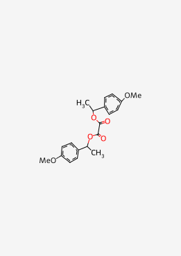 COc1ccc(C(C)OC(=O)C(=O)OC(C)c2ccc(OC)cc2)cc1